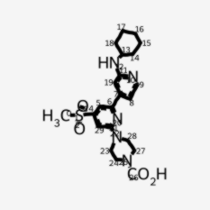 CS(=O)(=O)c1cc(-c2ccnc(NC3CCCCC3)c2)nc(N2CCN(C(=O)O)CC2)c1